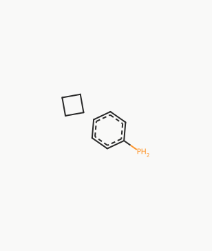 C1CCC1.Pc1ccccc1